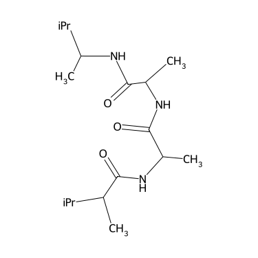 CC(NC(=O)C(C)NC(=O)C(C)C(C)C)C(=O)NC(C)C(C)C